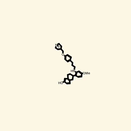 COc1ccc(C2CCc3cc(O)ccc3C2)c(NCCCc2ccc(OCC34CCN(CC3)CC4)cc2)c1